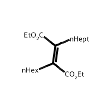 CCCCCCCC(C(=O)OCC)=C(CCCCCC)C(=O)OCC